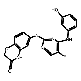 O=C1COc2ccc(Nc3ncc(F)c(Nc4cccc(O)c4)n3)cc2N1